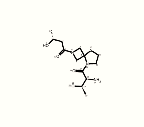 C[C@@H](O)CC(=O)N1CC2(C1)SCCN2C(=O)[C@@H](N)[C@@H](C)O